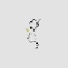 C=Cc1ccc2sc3ccc(C)cc3c2c1